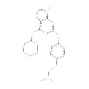 Cn1cnc2c(NC3CCCCC3)nc(Nc3ccc(OSP(I)I)cc3)nc21